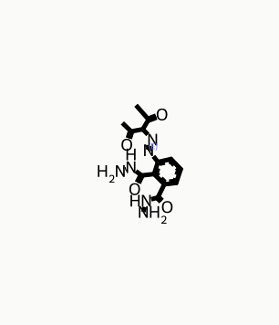 CC(=O)C(/N=N/c1cccc(C(=O)NN)c1C(=O)NN)C(C)=O